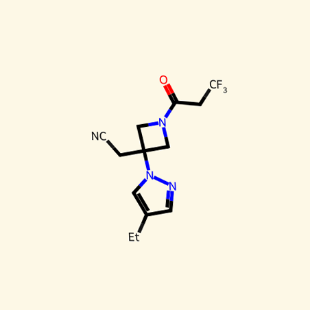 CCc1cnn(C2(CC#N)CN(C(=O)CC(F)(F)F)C2)c1